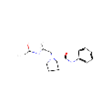 COC(O)N[C@H]([C@H](O)N1CCC[C@H]1C(=O)Nc1ccccc1)C(C)(C)C